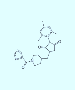 Cc1cc(C)c(C2C(=O)CC(CC3CCN(C(=O)c4ccsc4)CC3)C2=O)c(C)c1